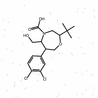 CC(C)(C)C1CN(C(=O)O)C(CO)C(c2ccc(Cl)c(Cl)c2)CO1